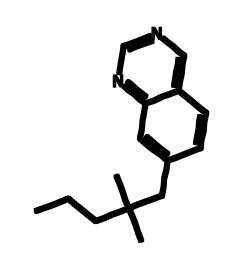 CCCC(C)(C)Cc1ccc2cncnc2c1